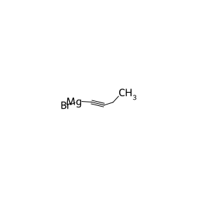 CCC#[C][Mg][Br]